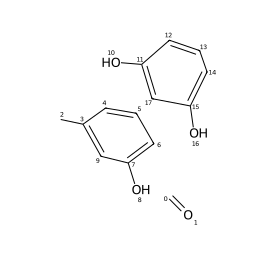 C=O.Cc1cccc(O)c1.Oc1cccc(O)c1